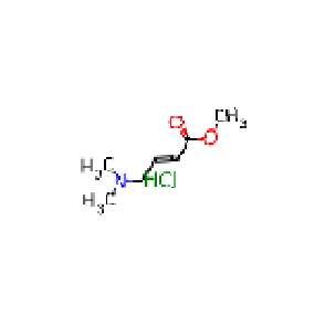 COC(=O)C=CCN(C)C.Cl